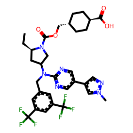 CC[C@@H]1CC(N(Cc2cc(C(F)(F)F)cc(C(F)(F)F)c2)c2ncc(-c3cnn(C)c3)cn2)CN1C(=O)OC[C@H]1CC[C@H](C(=O)O)CC1